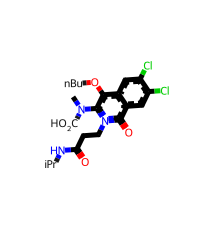 CCCCOc1c(N(C)C(=O)O)n(CCC(=O)NC(C)C)c(=O)c2cc(Cl)c(Cl)cc12